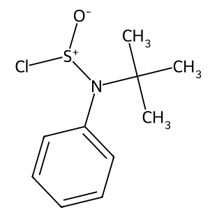 CC(C)(C)N(c1ccccc1)[S+]([O-])Cl